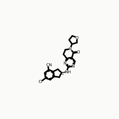 N#Cc1cc(Cl)cc2c1C[C@@H](Nc1ncc3c(n1)CCN(C1CCOC1)C3=O)C2